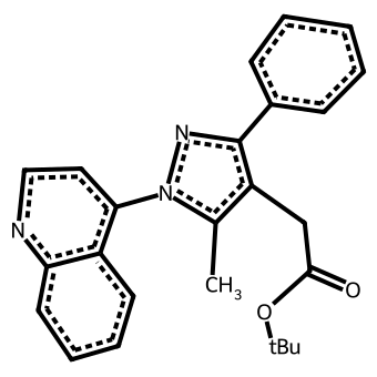 Cc1c(CC(=O)OC(C)(C)C)c(-c2ccccc2)nn1-c1ccnc2ccccc12